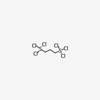 ClS(Cl)(Cl)CCCS(Cl)(Cl)Cl